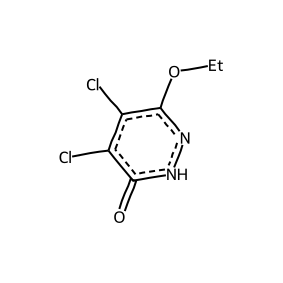 CCOc1n[nH]c(=O)c(Cl)c1Cl